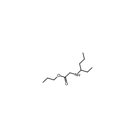 CCCOC(=O)CNC(CC)CCC